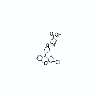 O=C(O)c1ccnc(CN2CCC(=C3c4ccccc4COc4cc(Cl)ccc43)CC2)c1